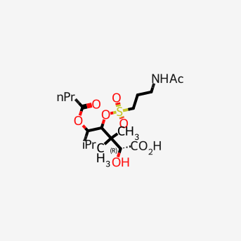 CCCC(=O)OC(C(C)C)C(OS(=O)(=O)CCCNC(C)=O)C(C)(C)[C@@H](O)C(=O)O